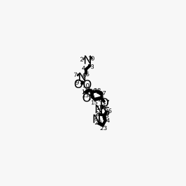 CN(C)CCCN(C)C(=O)Oc1coc2cc(Oc3nc4ncccc4s3)ccc12